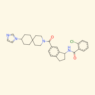 O=C(NC1CCc2ccc(C(=O)N3CCC4(CCC(n5ccnc5)CC4)CC3)cc21)c1ccccc1Cl